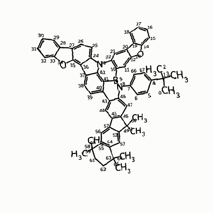 CC(C)(C)c1ccc(N2B3c4cc5oc6ccccc6c5cc4-n4c5ccc6c7ccccc7oc6c5c5ccc(c3c54)-c3cc4c(cc32)C(C)(C)c2cc3c(cc2-4)C(C)(C)CCC3(C)C)cc1